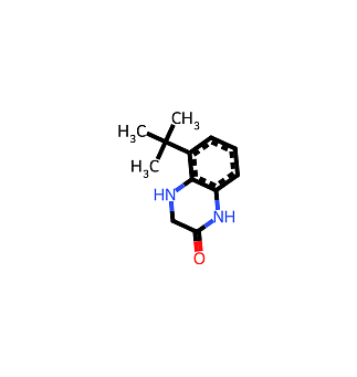 CC(C)(C)c1cccc2c1NCC(=O)N2